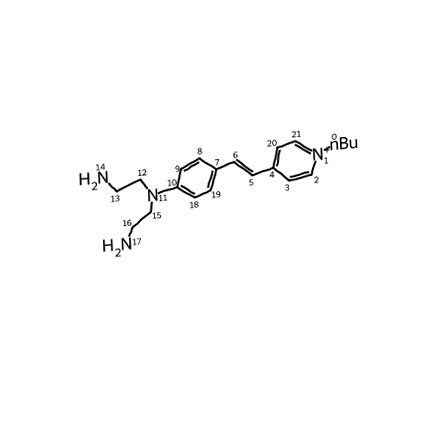 CCCC[n+]1ccc(C=Cc2ccc(N(CCN)CCN)cc2)cc1